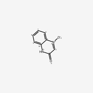 O=c1c[n+]([O-])c2ccccc2[nH]1